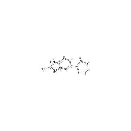 Cc1nc2cc(-c3ccccn3)ccc2[nH]1